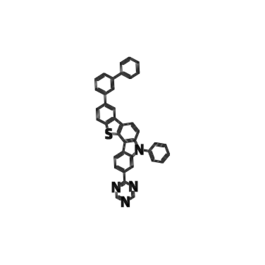 c1ccc(-c2cccc(-c3ccc4sc5c(ccc6c5c5ccc(-c7ncncn7)cc5n6-c5ccccc5)c4c3)c2)cc1